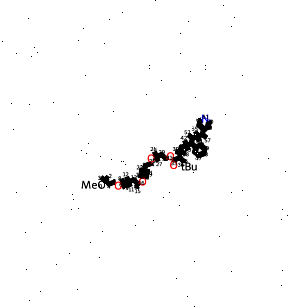 COC(C)(C)CCOC(C)(C)C(C)(C)CC(C)OC(C)(C)C(C)(C)CCOC(C)(C)CCOC(=O)C(CC(C)(C)C)C(C)(C)CC(C)(C)C(c1ccccc1)C(C)C(C)(C)C(C)c1ccncc1